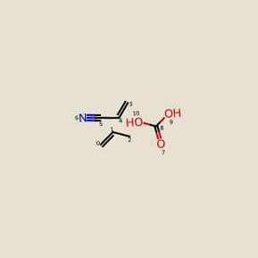 C=CC.C=CC#N.O=C(O)O